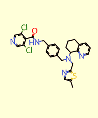 Cc1cnc(CN(Cc2ccc(CNC(=O)c3c(Cl)cncc3Cl)cc2)C2CCCc3cccnc32)s1